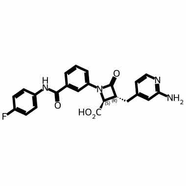 Nc1cc(C[C@H]2C(=O)N(c3cccc(C(=O)Nc4ccc(F)cc4)c3)[C@@H]2C(=O)O)ccn1